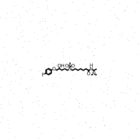 CC(NC(=O)CCCCCCN(CCCC(O)COc1ccc(F)cc1)S(C)(=O)=O)N(C)C